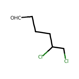 O=CCCCC(Cl)CCl